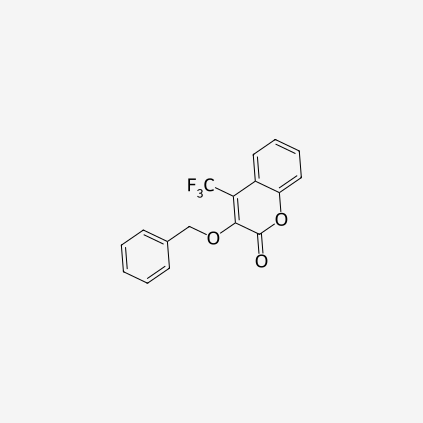 O=c1oc2ccccc2c(C(F)(F)F)c1OCc1ccccc1